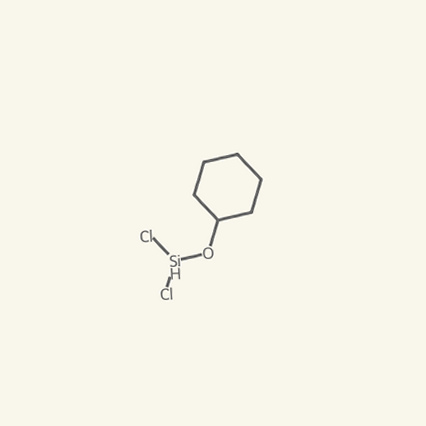 Cl[SiH](Cl)OC1CCCCC1